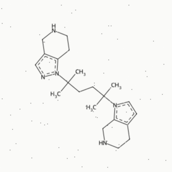 CC(C)(CCC(C)(C)n1ncc2c1CCNC2)n1ccc2c1CNCC2